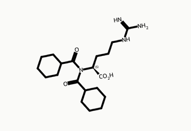 N=C(N)NCCC[C@@H](C(=O)O)N(C(=O)C1CCCCC1)C(=O)C1CCCCC1